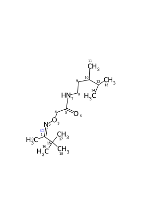 C/C(=N/OCC(=O)NCCC(C)C(C)C)C(C)(C)C